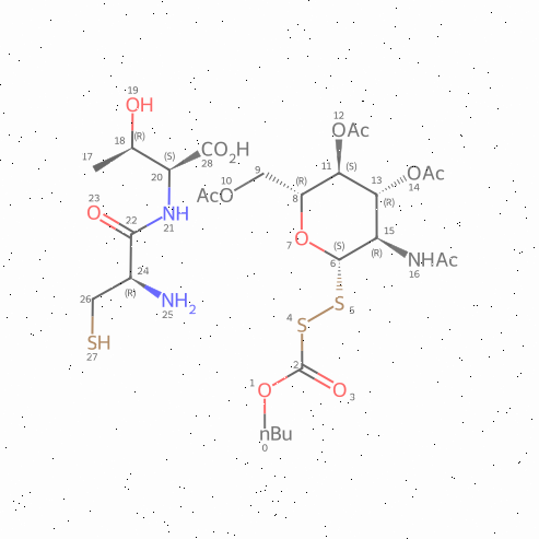 CCCCOC(=O)SS[C@@H]1O[C@H](COC(C)=O)[C@@H](OC(C)=O)[C@H](OC(C)=O)[C@H]1NC(C)=O.C[C@@H](O)[C@H](NC(=O)[C@@H](N)CS)C(=O)O